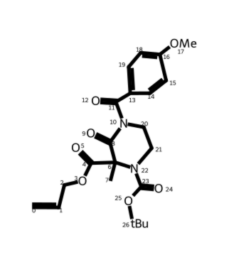 C=CCOC(=O)C1(C)C(=O)N(C(=O)c2ccc(OC)cc2)CCN1C(=O)OC(C)(C)C